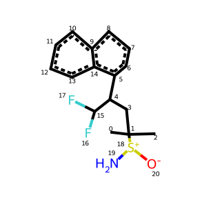 CC(C)(CC(c1cccc2ccccc12)C(F)F)[S+](N)[O-]